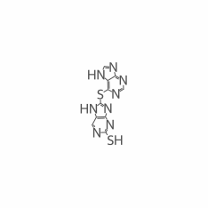 Sc1ncc2[nH]c(Sc3ncnc4nc[nH]c34)nc2n1